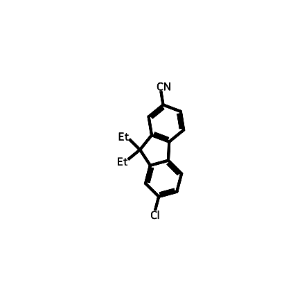 CCC1(CC)c2cc(Cl)ccc2-c2ccc(C#N)cc21